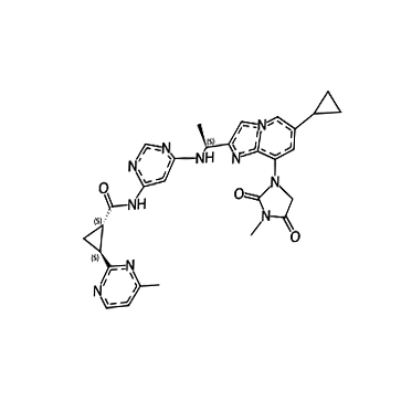 Cc1ccnc([C@H]2C[C@@H]2C(=O)Nc2cc(N[C@@H](C)c3cn4cc(C5CC5)cc(N5CC(=O)N(C)C5=O)c4n3)ncn2)n1